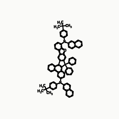 CC(C)(C)c1ccc(N(c2ccc3ccccc3c2)c2ccc3c4c(c5ccccc5c3c2)-c2cc3c(cc2C4(c2ccccc2)c2ccccc2)oc2c(N(c4ccc(C(C)(C)C)cc4)c4ccc5ccccc5c4)cccc23)cc1